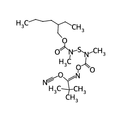 CCCCC(CC)COC(=O)N(C)SN(C)C(=O)ON=C(OC#N)C(C)(C)C